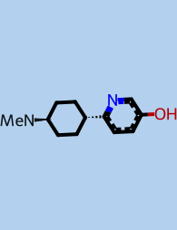 CN[C@H]1CC[C@H](c2ccc(O)cn2)CC1